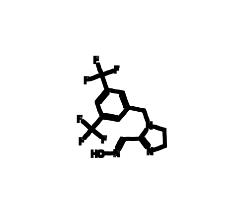 ON=CC1=NCCN1Cc1cc(C(F)(F)F)cc(C(F)(F)F)c1